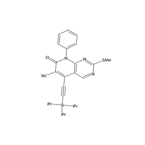 CSc1ncc2c(C#C[Si](C(C)C)(C(C)C)C(C)C)c(C#N)c(=O)n(-c3ccccc3)c2n1